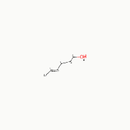 C/C=[C]/CCCO